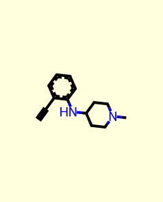 C#Cc1ccccc1NC1CCN(C)CC1